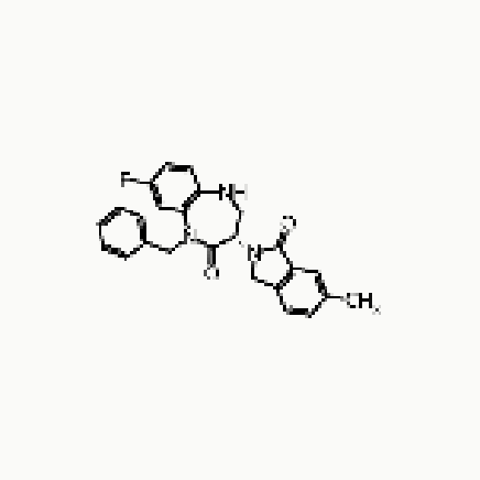 Cc1ccc2c(c1)C(=O)N([C@H]1CNc3ccc(F)cc3N(Cc3ccccc3)C1=O)C2